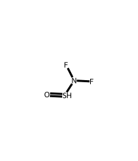 O=[SH]N(F)F